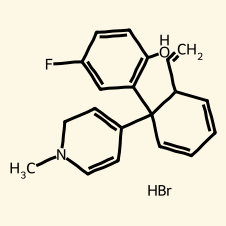 Br.C=CC1C=CC=CC1(C1=CCN(C)C=C1)c1cc(F)ccc1O